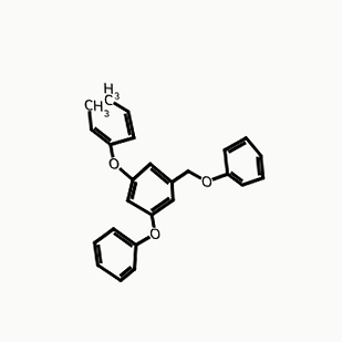 C/C=C\C(=C/C)Oc1cc(COc2ccccc2)cc(Oc2ccccc2)c1